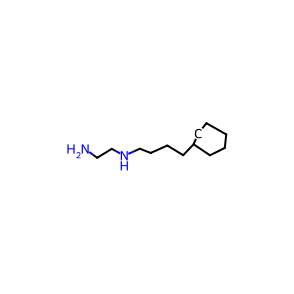 NCCNCCCCC1CCCCC1